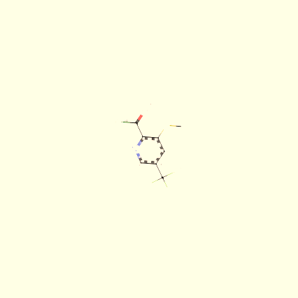 CSc1cc(C(F)(F)F)cnc1C(=O)Cl